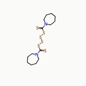 S=C(SSSSC(=S)N1CCCCCC1)N1CCCCCC1